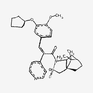 COc1ccc(/C=C(\C(=O)N2C3CC4CC[C@]3(CS2(=O)=O)C4(C)C)c2ccncc2)cc1OC1CCCC1